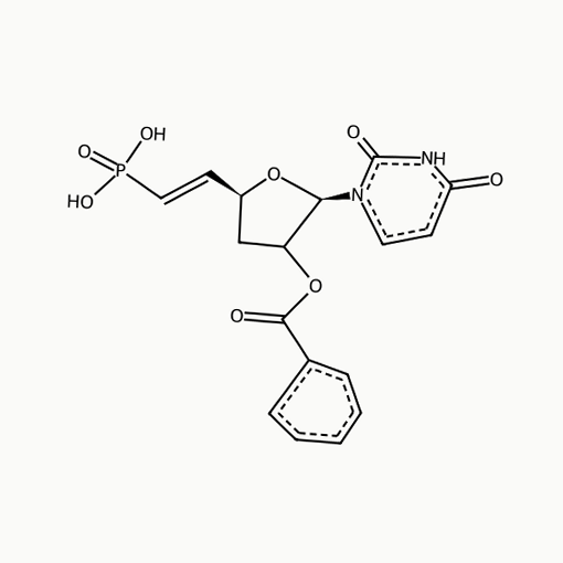 O=C(OC1C[C@@H](/C=C/P(=O)(O)O)O[C@H]1n1ccc(=O)[nH]c1=O)c1ccccc1